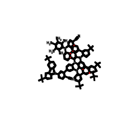 Bc1c(B)c(B)c(N(c2ccccc2)c2ccc(C#N)cc2-c2ccc3c(c2)N(c2ccc(C(C)(C)C)cc2-c2ccccc2)c2cc(-c4cc(C(C)(C)C)cc(C(C)(C)C)c4)cc4c2B3c2ccc(-c3cc(-n5c6ccc(C(C)(C)C)cc6c6cc(C(C)(C)C)ccc65)ccc3C#N)cc2N4c2ccc(C(C)(C)C)cc2-c2ccccc2)c(B)c1B